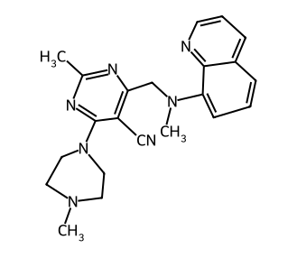 Cc1nc(CN(C)c2cccc3cccnc23)c(C#N)c(N2CCN(C)CC2)n1